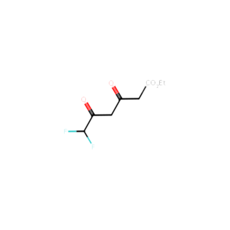 CCOC(=O)CC(=O)CC(=O)C(F)F